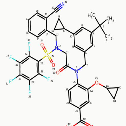 CC(C)(C)c1cc(CN(C(=O)CN(Cc2ccccc2C#N)S(=O)(=O)c2c(F)c(F)c(F)c(F)c2F)c2ccc(C(=O)O)cc2OC2CC2)cc(C2CC2)c1